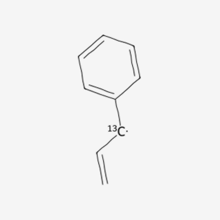 C=C[13CH]c1ccccc1